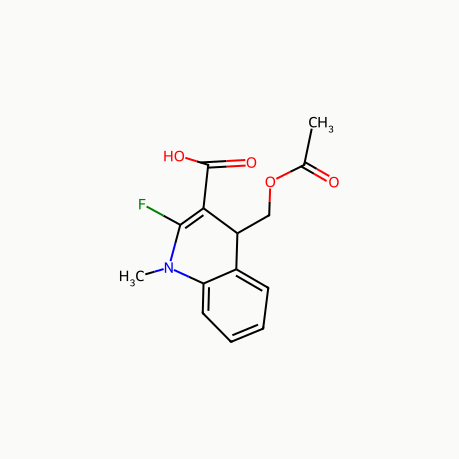 CC(=O)OCC1C(C(=O)O)=C(F)N(C)c2ccccc21